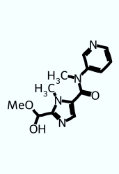 COC(O)c1ncc(C(=O)N(C)c2cccnc2)n1C